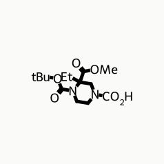 CCC1(C(=O)OC)CN(C(=O)O)CCN1C(=O)OC(C)(C)C